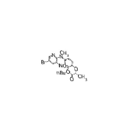 CCCCOC(=O)C(C)Oc1ccc(N(C)c2ncc(Br)cc2[N+](=O)[O-])cc1